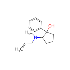 C=CCN(C)[C@@H]1CCCC1(O)c1ccccc1